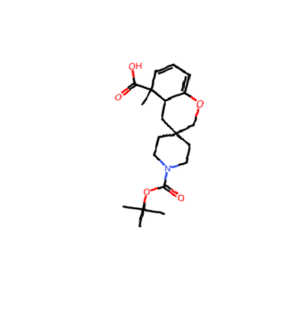 CC(C)(C)OC(=O)N1CCC2(CC1)COC1=CC=CC(C)(C(=O)O)C1C2